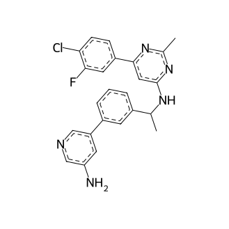 Cc1nc(NC(C)c2cccc(-c3cncc(N)c3)c2)cc(-c2ccc(Cl)c(F)c2)n1